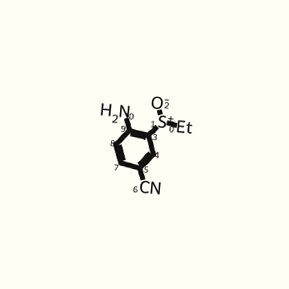 CC[S+]([O-])c1cc(C#N)ccc1N